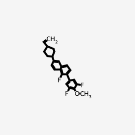 C=CC1CCC(c2ccc3c(F)c(-c4cc(F)c(OC)c(F)c4)ccc3c2)CC1